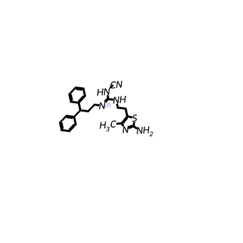 Cc1nc(N)sc1CCN/C(=N/CCC(c1ccccc1)c1ccccc1)NC#N